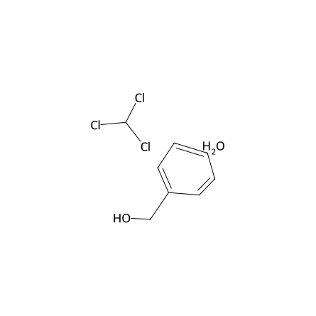 ClC(Cl)Cl.O.OCc1ccccc1